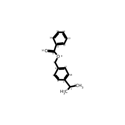 CC(C)c1ccc(COC(=O)c2ccccc2)cc1